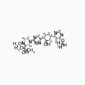 [2H]C([2H])([2H])Oc1cc(-c2ccc(-c3cnc(N4CCN(C)C(C(C)(C)O)C4)nn3)c(O)c2)ncn1